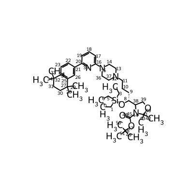 CC[Si](CC)(CC)O[C@H](CCCN1CCN(c2cccc(-c3ccc4c(c3)C(C)(C)CCC4(C)C)n2)CC1)C1COC(C)(C)N1C(=O)OC(C)(C)C